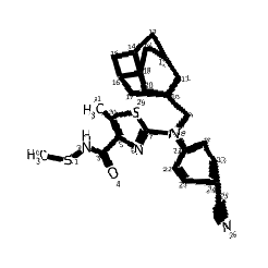 CSNC(=O)c1nc(N(CC23CC4CC5CC(C2)C5(C4)C3)c2ccc(C#N)cc2)sc1C